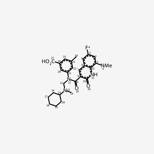 CNc1cc(F)cc2cc(C(=O)N(CN(C)C3CCCCC3)c3cc(C)cc(C(=O)O)c3)c(=O)[nH]c12